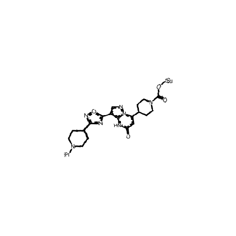 CC(C)N1CCC(c2noc(-c3cnn4c(C5CCN(C(=O)OC(C)(C)C)CC5)cc(=O)[nH]c34)n2)CC1